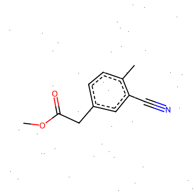 COC(=O)Cc1ccc(C)c(C#N)c1